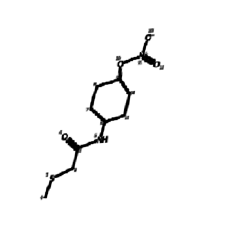 CSCC(=O)NC1CCC(O[N+](=O)[O-])CC1